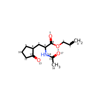 C=CCOC(=O)C(CC1CCCC1=O)NC(C)=O